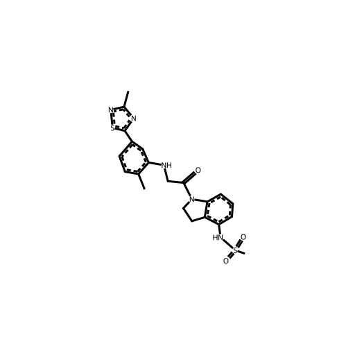 Cc1nsc(-c2ccc(C)c(NCC(=O)N3CCc4c(NS(C)(=O)=O)cccc43)c2)n1